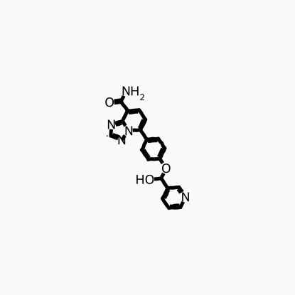 NC(=O)c1ccc(-c2ccc(OC(O)c3cccnc3)cc2)n2n[c]nc12